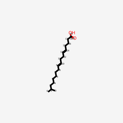 CC(C)CCCCCCC=CCCC=CCCCC(=O)O